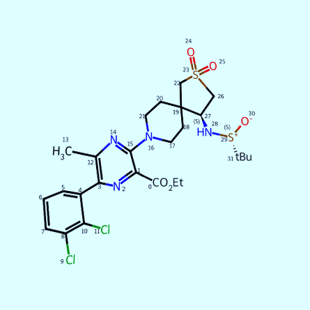 CCOC(=O)c1nc(-c2cccc(Cl)c2Cl)c(C)nc1N1CCC2(CC1)CS(=O)(=O)C[C@H]2N[S@+]([O-])C(C)(C)C